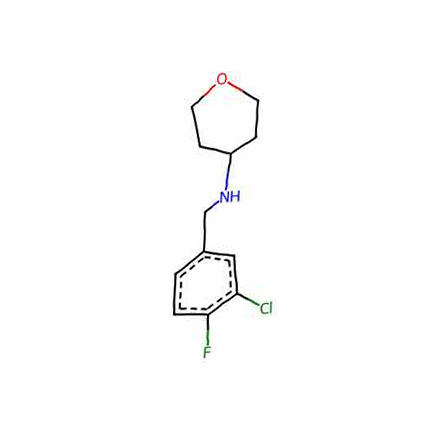 Fc1ccc(CNC2CCOCC2)cc1Cl